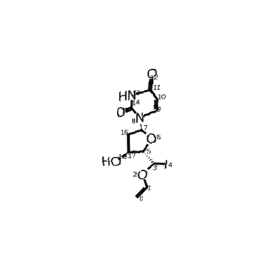 C=COC(I)[C@H]1O[C@@H](n2ccc(=O)[nH]c2=O)C[C@@H]1O